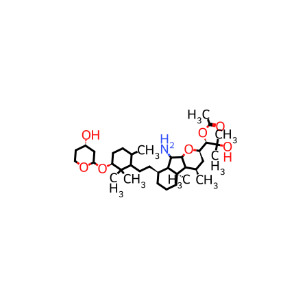 CC(=O)O[C@@H]([C@H]1C[C@@H](C)C2C(O1)C(N)C1[C@H](CCC3C(C)CC[C@H](OC4C[C@@H](O)CCO4)C3(C)C)CCC[C@@]12C)C(C)(C)O